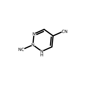 N#CC1=CNN(C#N)N=C1